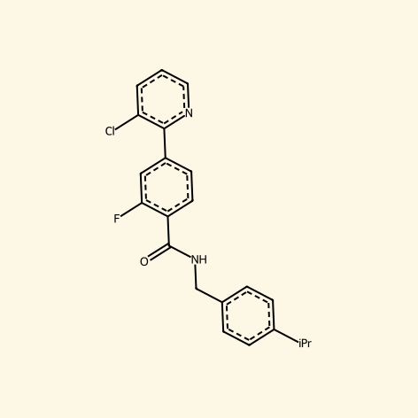 CC(C)c1ccc(CNC(=O)c2ccc(-c3ncccc3Cl)cc2F)cc1